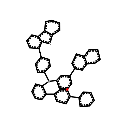 c1ccc(-c2ccc(-c3ccccc3N(c3ccc(-c4cccc5c4sc4ccccc45)cc3)c3cccc(-c4ccc5ccccc5c4)c3)cc2)cc1